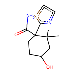 CC1(C)CC(O)CCC1(C(N)=O)c1nccs1